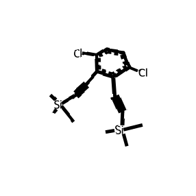 C[Si](C)(C)C#Cc1c(Cl)ccc(Cl)c1C#C[Si](C)(C)C